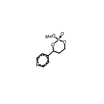 COP1(=O)OCCC(c2ccncc2)O1